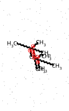 CCCCCCCCCCC(OCCCC)=C(OCCCC)C(CCCCCC)OCOCOC(CCCCCC)C(OCCCC)=C(CCCCCCCCCC)OCCCC